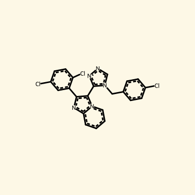 Clc1ccc(Cn2cnnc2-c2c(-c3cc(Cl)ccc3Cl)nc3ccccn23)cc1